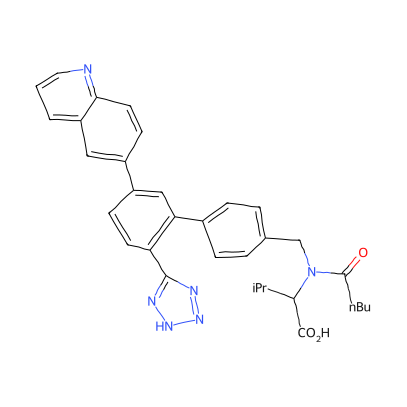 CCCCC(=O)N(Cc1ccc(-c2cc(-c3ccc4ncccc4c3)ccc2-c2nn[nH]n2)cc1)C(C(=O)O)C(C)C